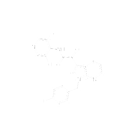 O=C(Nc1c(Cl)cncc1Cl)C(=O)c1cn(Cc2ccc(F)cc2)c2ncccc12